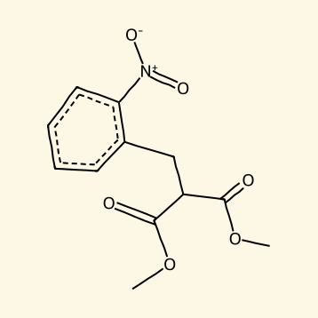 COC(=O)C(Cc1ccccc1[N+](=O)[O-])C(=O)OC